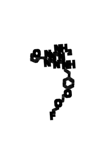 Nc1nc(NCCc2ccc(OCCOCCF)cc2)nc2nc(-c3ccco3)nn12